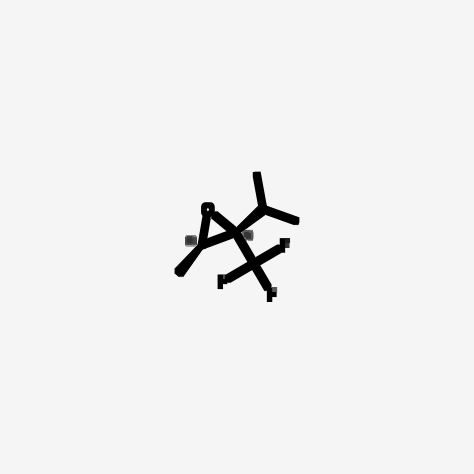 CC(C)[C@]1(C(F)(F)F)O[C@@H]1C